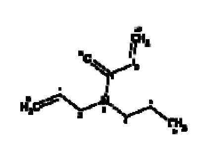 C=CCN(CCC)C(=O)C=C